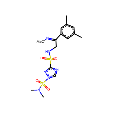 CO/N=C(\CNS(=O)(=O)c1ncn(S(=O)(=O)N(C)C)n1)c1cc(C)cc(C)c1